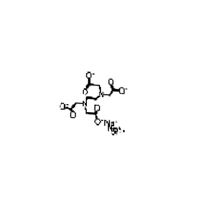 O=C([O-])CN(CCN(CC(=O)[O-])CC(=O)[O-])CC(=O)[O-].[Na+].[Na+].[Sr+2]